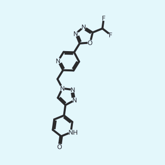 O=c1ccc(-c2cn(Cc3ccc(-c4nnc(C(F)F)o4)cn3)nn2)c[nH]1